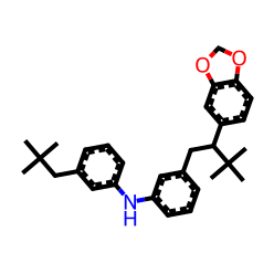 CC(C)(C)Cc1cccc(Nc2cccc(CC(c3ccc4c(c3)OCO4)C(C)(C)C)c2)c1